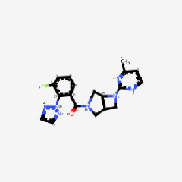 Cc1ccnc(N2CC3CN(C(=O)c4cccc(F)c4-n4nccn4)CC32)n1